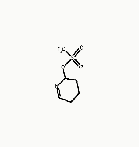 O=S(=O)(OC1CCCC=N1)C(F)(F)F